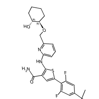 CC(C)(O)c1cc(F)c(-c2cc(C(N)=O)c(Nc3cccc(CO[C@@H]4CCCC[C@H]4O)n3)s2)c(F)c1